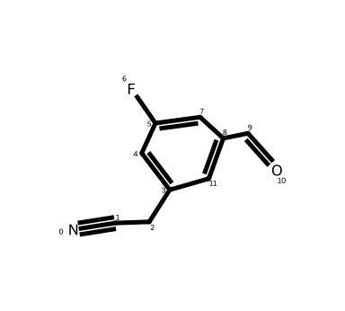 N#CCc1cc(F)cc(C=O)c1